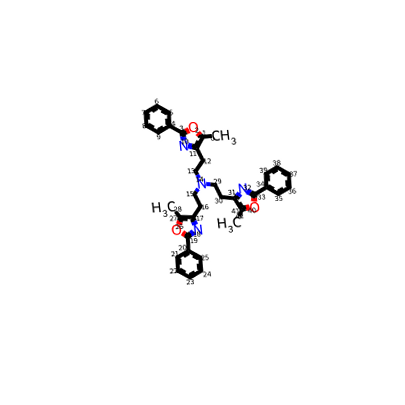 Cc1oc(-c2ccccc2)nc1CCN(CCc1nc(-c2ccccc2)oc1C)CCc1nc(-c2ccccc2)oc1C